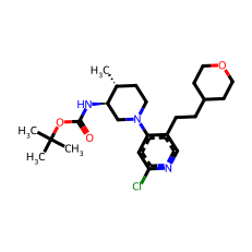 C[C@@H]1CCN(c2cc(Cl)ncc2CCC2CCOCC2)C[C@H]1NC(=O)OC(C)(C)C